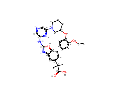 CCOc1ccccc1OC1CCCN(c2cncc(Nc3nc4cc(C(C)(C)C(=O)O)ccc4o3)n2)C1